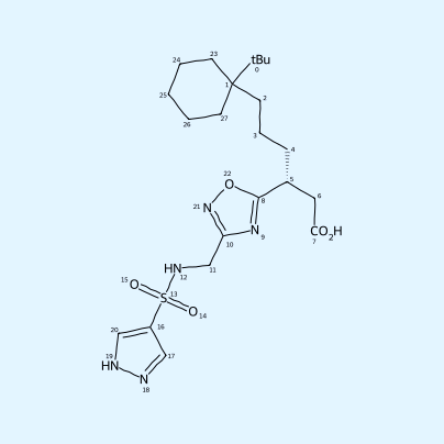 CC(C)(C)C1(CCC[C@H](CC(=O)O)c2nc(CNS(=O)(=O)c3cn[nH]c3)no2)CCCCC1